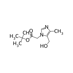 Cc1ncn(CC(=O)OC(C)(C)C)c1CO